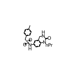 CCCN1C(=O)NCc2cc(NS(=O)(=O)Cc3ccc(C)cc3)ccc21